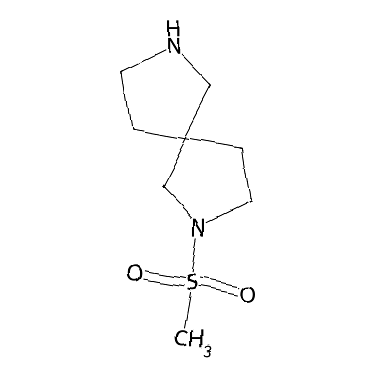 CS(=O)(=O)N1CCC2(CCNC2)C1